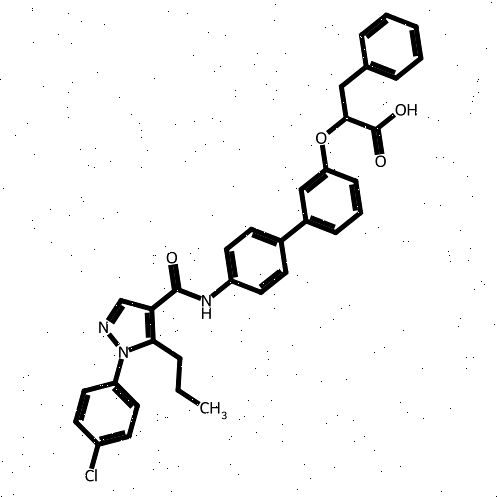 CCCc1c(C(=O)Nc2ccc(-c3cccc(OC(Cc4ccccc4)C(=O)O)c3)cc2)cnn1-c1ccc(Cl)cc1